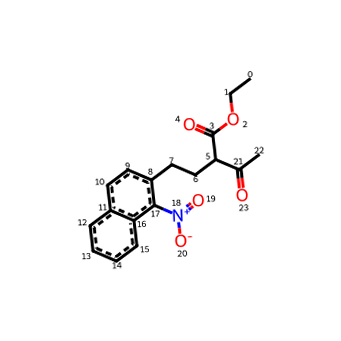 CCOC(=O)C(CCc1ccc2ccccc2c1[N+](=O)[O-])C(C)=O